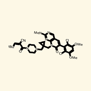 CNc1ncc2cc(-c3c(Cl)c(OC)cc(OC)c3Cl)c(=O)n(CC3(CN4CCN(C(=O)/C(C#N)=C\C(C)(C)C)CC4)CC3)c2n1